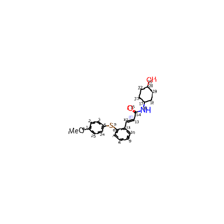 COc1ccc(Sc2ccccc2/C=C/C(=O)NC2CCC(O)CC2)cc1